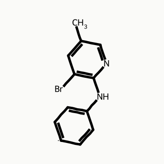 Cc1cnc(Nc2cc[c]cc2)c(Br)c1